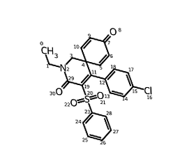 CCN1CC2(C=CC(=O)C=C2)C(c2ccc(Cl)cc2)=C(S(=O)(=O)c2ccccc2)C1=O